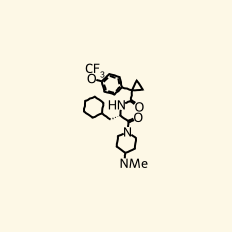 CNC1CCN(C(=O)[C@H](CC2CCCCC2)NC(=O)C2(c3ccc(OC(F)(F)F)cc3)CC2)CC1